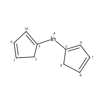 C1=CC[C]([In][C]2=CC=CC2)=C1